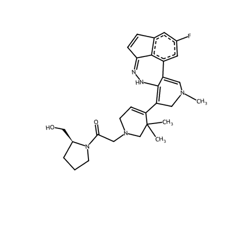 CN1C=C2C(=C(C3=CCN(CC(=O)N4CCC[C@H]4CO)CC3(C)C)C1)NN=C1C=Cc3cc(F)cc2c31